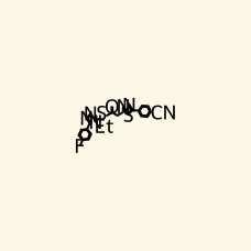 CCn1c(SCC(=O)Cc2nnc(-c3ccc(C#N)cc3)s2)nnc1-c1ccc(F)cc1